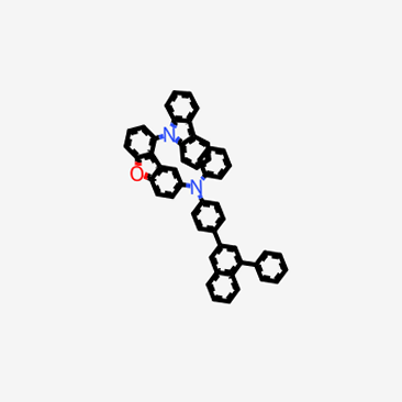 c1ccc(-c2cc(-c3ccc(N(c4ccccc4)c4ccc5oc6cccc(-n7c8ccccc8c8ccccc87)c6c5c4)cc3)cc3ccccc23)cc1